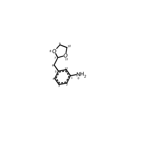 Nc1cccc(CC2OCCO2)c1